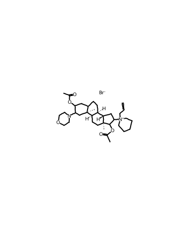 C=CC[N+]1(C2C[C@H]3[C@@H]4CCC5CC(OC(C)=O)C(N6CCOCC6)C[C@]5(C)[C@@H]4CC[C@]3(C)C2OC(C)=O)CCCCC1.[Br-]